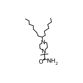 CCCCCCCC(CCCCCC)N1CCN(C(C)(C)C(N)=O)CC1